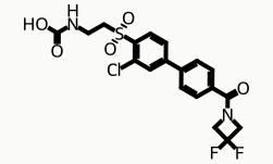 O=C(O)NCCS(=O)(=O)c1ccc(-c2ccc(C(=O)N3CC(F)(F)C3)cc2)cc1Cl